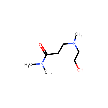 CN(CCO)CCC(=O)N(C)C